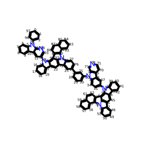 c1ccc(-n2c3ccccc3c3cc(-n4c5ccccc5c5cc6c7cc(-c8cccc(-n9c%10ccc(-n%11c%12ccccc%12c%12cc%13c%14ccccc%14n%14c%15c%16ccccc%16ccc%15c(c%12%11)c%13%14)cc%10c%10ccncc%109)c8)ccc7n7c8c9ccccc9ccc8c(c54)c67)cnc32)cc1